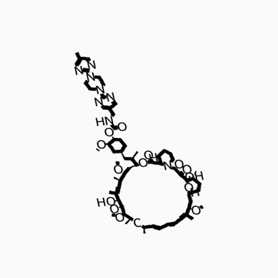 CO[C@H]1C[C@@H]2CC[C@@H](C)[C@@](O)(O2)C(=O)C(=O)N2CCCC[C@H]2C(=O)O[C@H]([C@H](C)C[C@@H]2CC[C@@H](OC(=O)NCc3cnc(N4CCN(c5ncc(C)cn5)CC4)nc3)[C@H](OC)C2)C[C@@H](OC)[C@H](C)/C=C(\C)[C@@H](O)[C@@H](OC)C(=O)[C@H](C)C[C@H](C)/C=C/C=C/C=C/1C